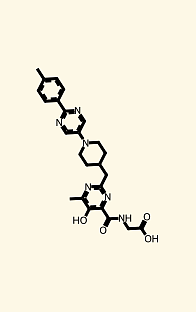 Cc1ccc(-c2ncc(N3CCC(Cc4nc(C)c(O)c(C(=O)NCC(=O)O)n4)CC3)cn2)cc1